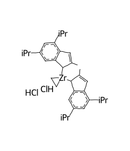 CC1=Cc2c(C(C)C)cc(C(C)C)cc2[CH]1[Zr]1([CH]2C(C)=Cc3c(C(C)C)cc(C(C)C)cc32)[CH2][CH2]1.Cl.Cl